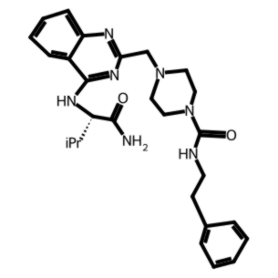 CC(C)[C@H](Nc1nc(CN2CCN(C(=O)NCCc3ccccc3)CC2)nc2ccccc12)C(N)=O